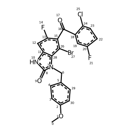 COc1ccc(Cn2c(=O)[nH]c3cc(F)c(C(=O)c4cc(F)ccc4Cl)c(Br)c32)cc1